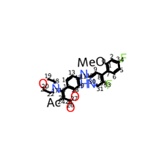 COc1cc(F)ccc1-c1cc(Nc2ccc3c(N4CCOCC4)c(C(C)=O)c(=O)oc3c2)ncc1F